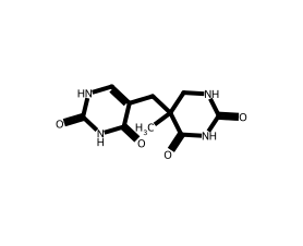 CC1(Cc2c[nH]c(=O)[nH]c2=O)CNC(=O)NC1=O